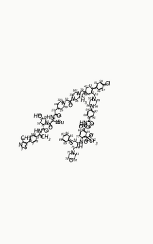 Cc1ncsc1-c1ccc([C@H](C)NC(=O)[C@@H]2C[C@@H](O)CN2C(=O)[C@@H](NC(=O)CC2CCN(CC(=O)N3CCN(CC4(C)CCC(c5ccc(Cl)cc5)=C(CN5CCN(c6ccc(C(=O)NS(=O)(=O)c7ccc(NC(CCN8CCOCC8)CSc8ccccc8)c(S(=O)(=O)C(F)(F)F)c7)cc6)CC5)C4)CC3)CC2)C(C)(C)C)cc1